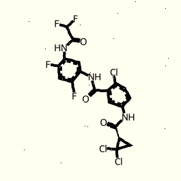 O=C(Nc1cc(NC(=O)C(F)F)c(F)cc1F)c1cc(NC(=O)[C@H]2CC2(Cl)Cl)ccc1Cl